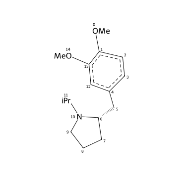 COc1ccc(C[C@@H]2CCCN2C(C)C)cc1OC